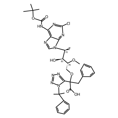 CO[C@H](COC(Cc1ccccc1)(C(=O)O)c1nnnn1C(C)(C)c1ccccc1)[C@@H](O)[C@H](F)n1cnc2c(NC(=O)OC(C)(C)C)nc(Cl)nc21